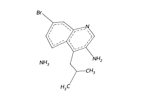 CC(C)Cc1c(N)cnc2cc(Br)ccc12.N